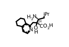 CC(C)C[C@H](N)[C@](O)(Cc1nccc2c1CCCC2)C(=O)O